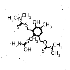 Cc1cc(COC(=S)N(C)C)c(C)c(CSC(=S)N(C)C)c1O.NC(O)=S